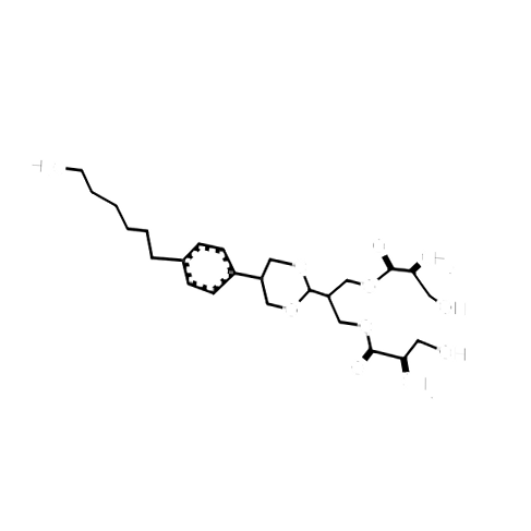 C=C(CO)C(=O)OCC(COC(=O)C(=C)CO)C1OCC(c2ccc(CCCCCCC)cc2)CO1